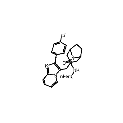 CCCCCNC(=O)N1C2CCC1CN(Cc1c(-c3ccc(Cl)cc3)nc3ccccn13)C2